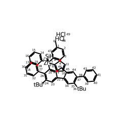 Cc1ccc[c]([Zr](=[SiH2])([C]2=CC=CC2)([c]2cccc(C)c2)[c]2c3c(cc(C(C)(C)C)c2-c2ccccc2)-c2cc(C(C)(C)C)c(-c4ccccc4)cc2C3)c1.Cl.Cl